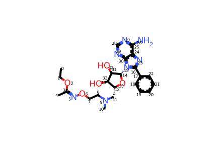 CCOC(C)=NOCCN(C)C[C@H]1O[C@@H](n2c(-c3ccccc3)nc3c(N)ncnc32)C(O)C1O